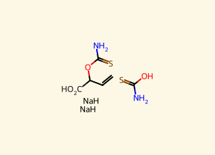 C=CC(OC(N)=S)C(=O)O.NC(O)=S.[NaH].[NaH]